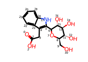 O=C(O)Cc1c(C2O[C@H](CO)[C@@H](O)[C@H](O)[C@H]2O)[nH]c2ccccc12